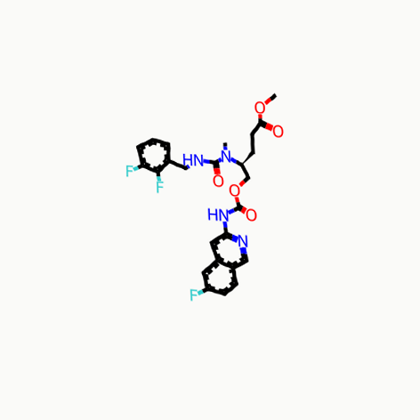 COC(=O)CC[C@@H](COC(=O)Nc1cc2cc(F)ccc2cn1)N(C)C(=O)NCc1cccc(F)c1F